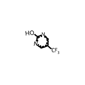 Oc1ncc(C(F)(F)F)cn1